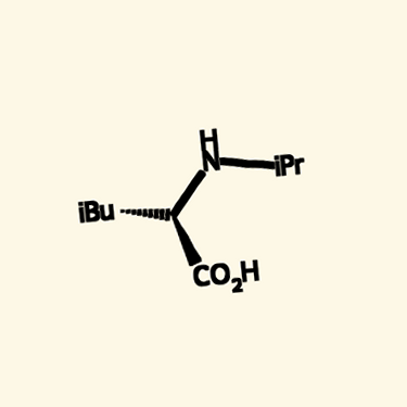 CC[C@@H](C)[C@@H](NC(C)C)C(=O)O